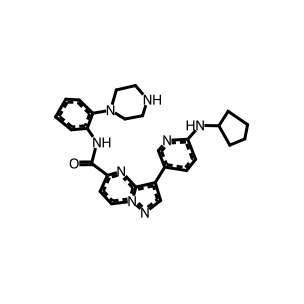 O=C(Nc1ccccc1N1CCNCC1)c1ccn2ncc(-c3ccc(NC4CCCC4)nc3)c2n1